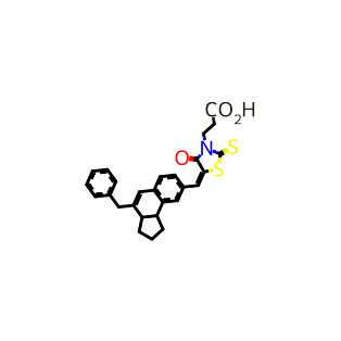 O=C(O)CCN1C(=O)/C(=C\c2ccc3c(c2)C2CCCC2C(Cc2ccccc2)=C3)SC1=S